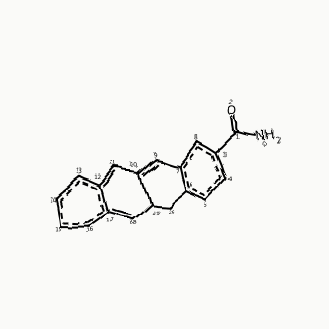 NC(=O)c1ccc2c(c1)C=C1C=c3ccccc3=CC1C2